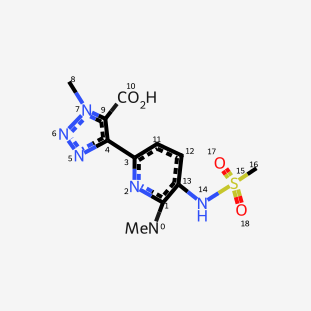 CNc1nc(-c2nnn(C)c2C(=O)O)ccc1NS(C)(=O)=O